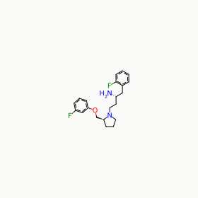 N[C@@H](CCN1CCC[C@H]1COc1cccc(F)c1)Cc1ccccc1F